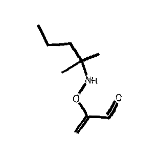 C=C(C=O)ONC(C)(C)CCC